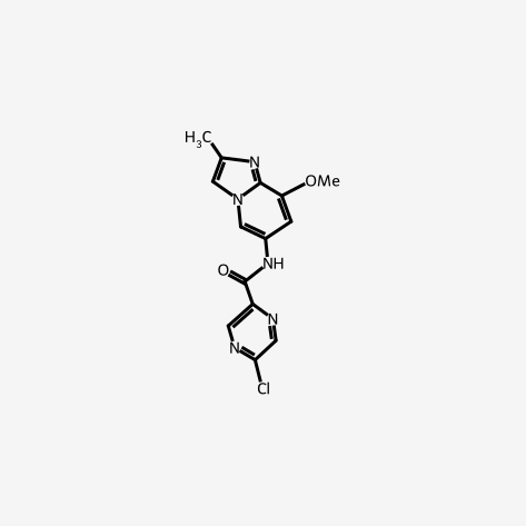 COc1cc(NC(=O)c2cnc(Cl)cn2)cn2cc(C)nc12